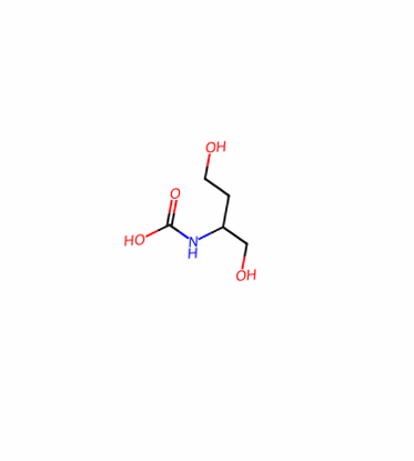 O=C(O)NC(CO)CCO